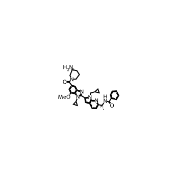 COc1cc(C(=O)N2CCC[C@@H](N)C2)cc2nc(-c3cc4ccc([C@@H](C)NC(=O)c5ccccc5)nc4n3CC3CC3)n(C3CC3)c12